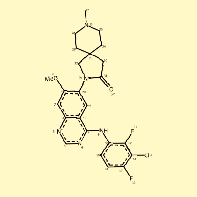 COc1cc2ncnc(Nc3ccc(F)c(Cl)c3F)c2cc1N1CC2(CCN(C)CC2)CC1=O